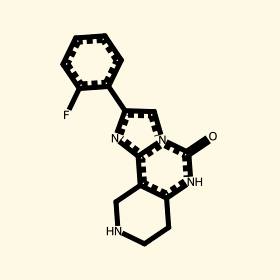 O=c1[nH]c2c(c3nc(-c4ccccc4F)cn13)CNCC2